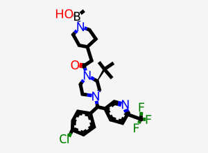 CB(O)N1CCC(CC(=O)N2CCN(C(c3ccc(Cl)cc3)c3ccc(C(F)(F)F)nc3)C[C@@H]2C(C)(C)C)CC1